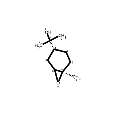 CC(C)(O)[C@@H]1CC[C@@]2(C)OC2C1